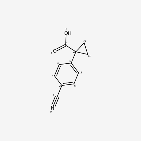 N#Cc1ccc(C2(C(=O)O)CC2)cc1